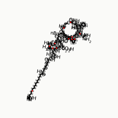 CCCC[C@H](NC(=O)[C@H](CNC(=O)[C@H](Cc1c[nH]cn1)NC(=O)[C@H](CCC(N)=O)NC(=O)[C@H](CO)NC(=O)CNC(=O)COCCOCCNC(=O)CCCCCCCCCCCCCCCc1nnn[nH]1)NC(=O)CN(CC(=O)O)CC(=O)O)C(=O)N[C@H]1CCC(=O)NCCCC[C@@H](C(N)=O)NC(=O)[C@H](Cc2c[nH]c3ccccc23)NC(=O)[C@H](CCCNC(=N)N)NC(=O)[C@@H](Cc2ccccc2)NC(=O)[C@@H]2C[C@@H](O)CN2C1=O